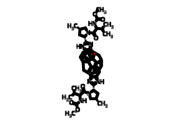 COC(=O)NC(C(=O)N1C[C@H](C)C[C@H]1c1nc2cc(-c3cc4ccc3CCc3ccc(c(-c5ccc6[nH]c([C@@H]7C[C@@H](C)CN7C(=O)C(NC(=O)OC)C(C)C)nc6c5)c3)CC4)ccc2[nH]1)C(C)C